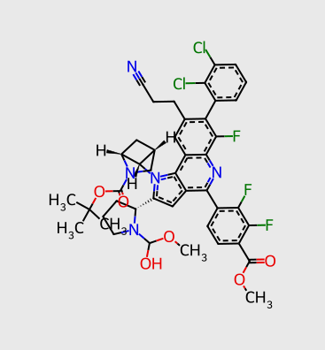 COC(=O)c1ccc(-c2nc3c(F)c(-c4cccc(Cl)c4Cl)c(CCC#N)cc3c3c2cc([C@H]2CCCN2C(O)OC)n3[C@H]2[C@@H]3C[C@H]2N(C(=O)OC(C)(C)C)C3)c(F)c1F